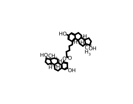 C[C@]12CC[C@@H]3c4c(CCCCC(=O)Oc5cc(O)cc6c5[C@H]5CC[C@]7(C)[C@H](O)CC[C@H]7[C@@H]5CC6)cc(O)cc4CC[C@H]3[C@@H]1CC[C@H]2O